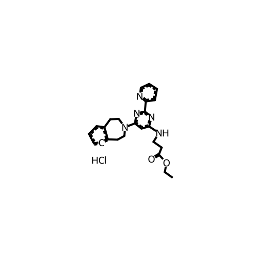 CCOC(=O)CCNc1cc(N2CCc3ccccc3CC2)nc(-c2ccccn2)n1.Cl